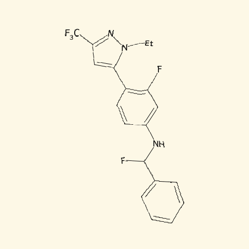 CCn1nc(C(F)(F)F)cc1-c1ccc(NC(F)c2ccccc2)cc1F